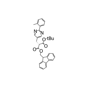 Cc1ccccc1-c1ncc(C[C@@H](C(=O)OCC2c3ccccc3-c3ccccc32)C(=O)OC(C)(C)C)cn1